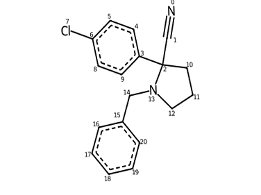 N#CC1(c2ccc(Cl)cc2)CCCN1Cc1ccccc1